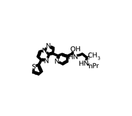 CCCN[C@@H](C)CNC(O)c1ccnc(-c2cnn3ccc(-c4cccs4)nc23)c1